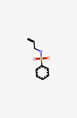 C=CC[N]S(=O)(=O)c1ccccc1